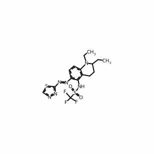 CCC1CCc2c(ccc(N=Nc3nncs3)c2NS(=O)(=O)C(F)(F)F)N1CC